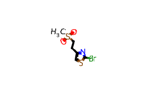 CS(=O)(=O)CCc1csc(Br)n1